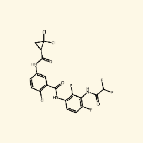 O=C(Nc1ccc(F)c(NC(=O)C(F)F)c1F)c1cc(NC(=O)[C@H]2CC2(Cl)Cl)ccc1Cl